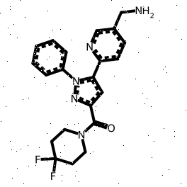 NCc1ccc(-c2cc(C(=O)N3CCC(F)(F)CC3)nn2-c2ccccc2)nc1